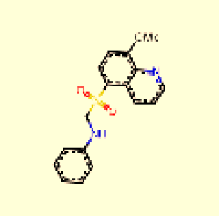 COc1ccc(S(=O)(=O)CNc2ccccc2)c2cccnc12